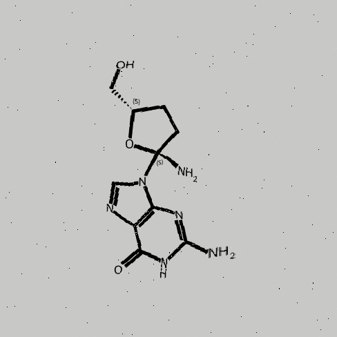 Nc1nc2c(ncn2[C@@]2(N)CC[C@@H](CO)O2)c(=O)[nH]1